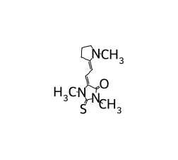 CN1CCCC1=CC=C1C(=O)N(C)C(=S)N1C